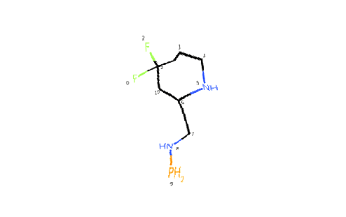 FC1(F)CCNC(CNP)C1